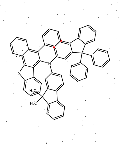 CC1(C)c2ccccc2-c2ccc(N(c3ccc4c(c3)C(c3ccccc3)(c3ccccc3)c3ccccc3-4)c3c(-c4ccccc4)c4ccccc4c4sc5ccccc5c34)cc21